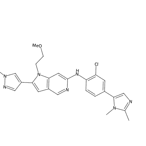 COCCn1c(-c2cnn(C)c2)cc2cnc(Nc3ccc(-c4cnc(C)n4C)cc3Cl)cc21